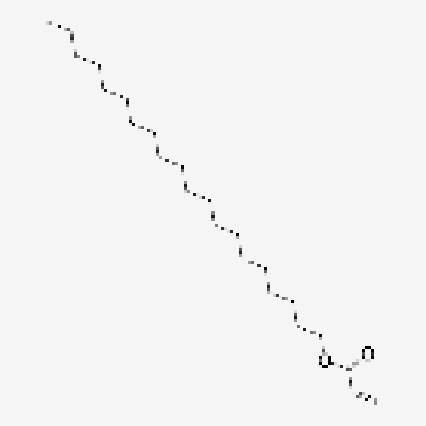 C=CC(=O)OCCCCCCCCCCCCCCCCCCCC